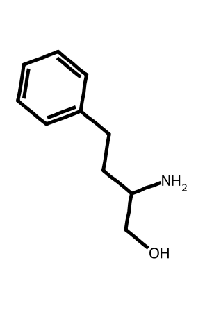 NC(CO)CCc1ccccc1